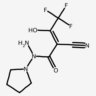 N#CC(C(=O)N(N)N1CCCC1)=C(O)C(F)(F)F